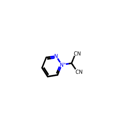 N#CC(C#N)[n+]1ccccn1